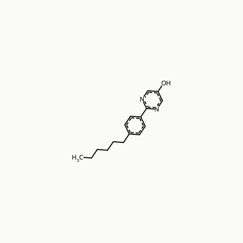 CCCCCCc1ccc(-c2ncc(O)cn2)cc1